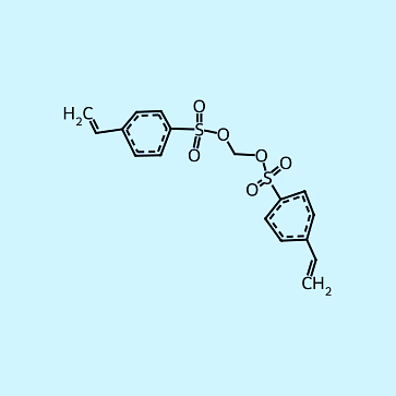 C=Cc1ccc(S(=O)(=O)OCOS(=O)(=O)c2ccc(C=C)cc2)cc1